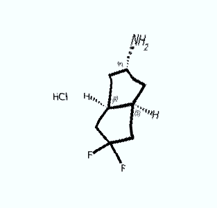 Cl.N[C@H]1C[C@@H]2CC(F)(F)C[C@@H]2C1